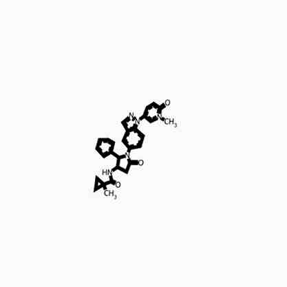 Cn1cc(-n2ncc3cc(N4C(=O)CC(NC(=O)C5(C)CC5)C4c4ccccc4)ccc32)ccc1=O